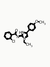 CCn1cc(-c2ccc(OC)cc2)[nH]/c1=N\C(=O)c1ccccc1Cl